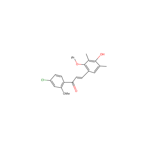 COc1cc(Cl)ccc1C(=O)/C=C/c1cc(C)c(O)c(C)c1OC(C)C